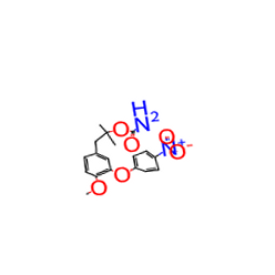 COc1ccc(CC(C)(C)OC(N)=O)cc1Oc1ccc([N+](=O)[O-])cc1